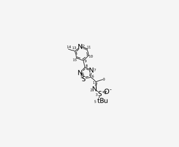 C/C(=N\[S+]([O-])C(C)(C)C)c1nc(-c2ccnc(C)c2)ns1